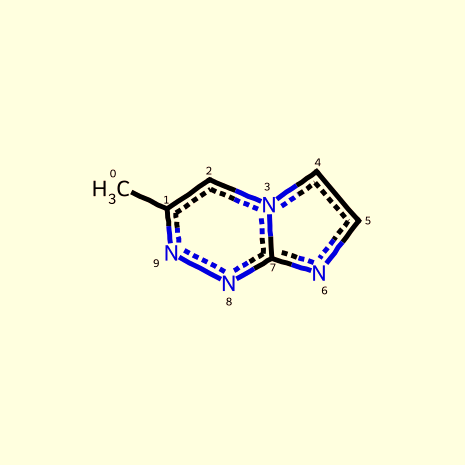 Cc1cn2ccnc2nn1